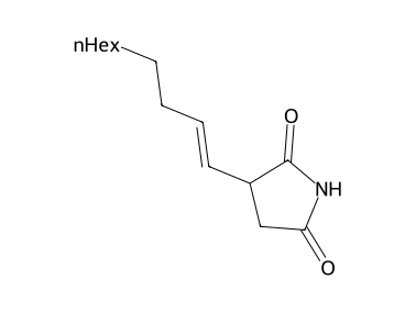 CCCCCCCC/C=C/C1CC(=O)NC1=O